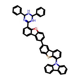 c1ccc(C2N=C(c3cccc4c3oc3ccc(-c5ccc6sc7c(-n8c9ccccc9c9ccccc98)cccc7c6c5)cc34)NC(c3ccccc3)N2)cc1